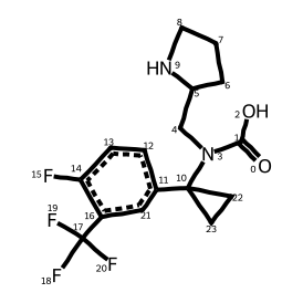 O=C(O)N(CC1CCCN1)C1(c2ccc(F)c(C(F)(F)F)c2)CC1